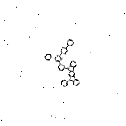 c1ccc(-c2ccc(-c3nc(-c4ccccc4)nc(-c4cccc(-n5c6ccccc6c6cc7c8ccccc8n(-c8ccccc8)c7cc65)c4)n3)cc2)cc1